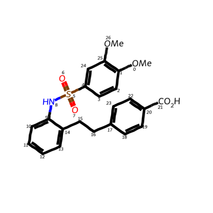 COc1ccc(S(=O)(=O)Nc2ccccc2CCc2ccc(C(=O)O)cc2)cc1OC